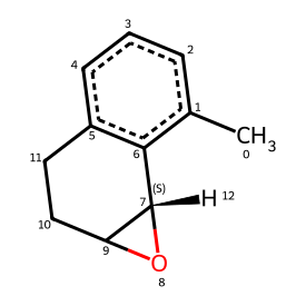 Cc1cccc2c1[C@@H]1OC1CC2